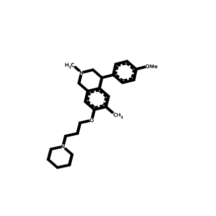 COc1ccc(C2CN(C)Cc3cc(OCCCN4CCCCC4)c(C)cc32)cc1